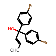 O=C/C=C/C(O)(c1ccc(Br)cc1)c1ccc(Br)cc1